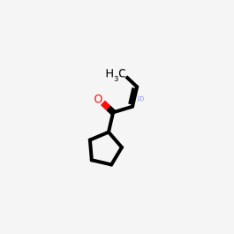 C/C=C\C(=O)C1CCCC1